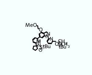 COCCOc1cc(-c2cccc(C3(N[S+]([O-])C(C)(C)C)CCCC3)n2)cc2c1cnn2-c1cccc(CO[Si](C)(C)C(C)(C)C)n1